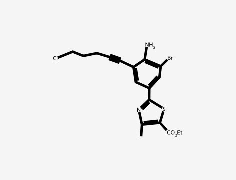 CCOC(=O)c1sc(-c2cc(Br)c(N)c(C#CCCCCl)c2)nc1C